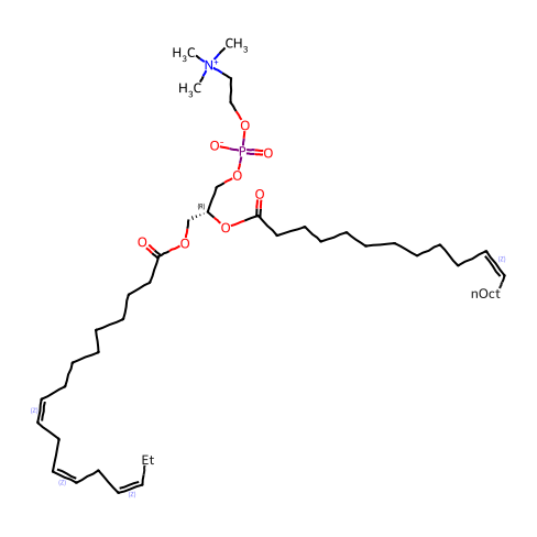 CC/C=C\C/C=C\C/C=C\CCCCCCCC(=O)OC[C@H](COP(=O)([O-])OCC[N+](C)(C)C)OC(=O)CCCCCCCCC/C=C\CCCCCCCC